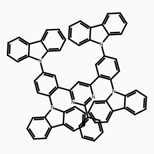 c1ccc(-c2nc(-c3cc(-n4c5ccccc5c5ccccc54)ccc3-n3c4ccccc4c4ccccc43)cc(-c3cc(-n4c5ccccc5c5ccccc54)ccc3-n3c4ccccc4c4ccccc43)n2)cc1